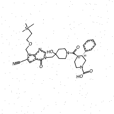 C[Si](C)(C)CCOCn1c(C#N)cc2c(=O)n(CC3(O)CCN(C(=O)[C@@H]4CCN(C(=O)O)C[C@H]4c4ccccc4)CC3)cnc21